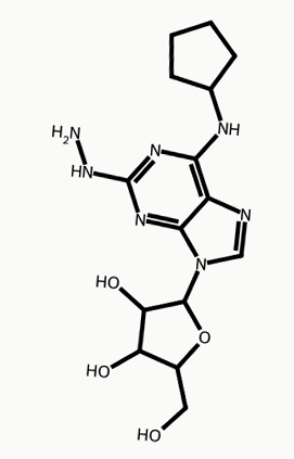 NNc1nc(NC2CCCC2)c2ncn(C3OC(CO)C(O)C3O)c2n1